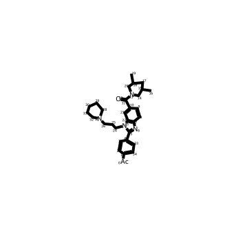 CC(=O)c1ccc(-c2nc3ccc(C(=O)N4CC(C)CC(C)C4)cc3n2CCCN2CCCCC2)cc1